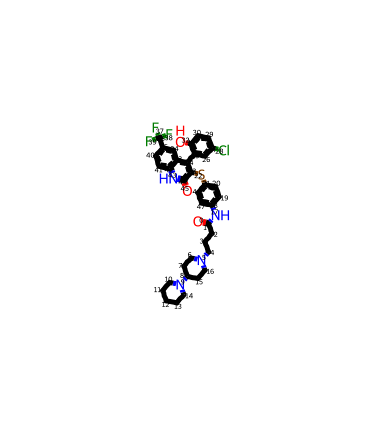 O=C(CCCN1CCC(N2CCCCC2)CC1)Nc1ccc(Sc2c(-c3cc(Cl)ccc3O)c3cc(C(F)(F)F)ccc3[nH]c2=O)cc1